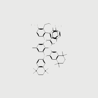 Cc1cc2c3c(c1)N(c1ccc(C(C)(C)C)c4c1-c1ccccc1OCC4)c1c(sc4ccc(C(C)(C)C)cc14)B3c1cc3c(cc1N2c1ccc2c(c1)C(C)(C)CCC2(C)C)C(C)(C)CCC3(C)C